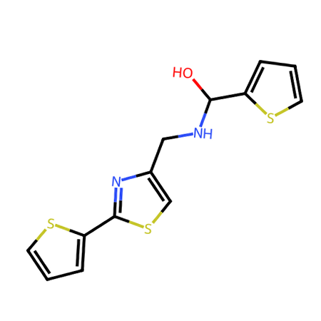 OC(NCc1csc(-c2cccs2)n1)c1cccs1